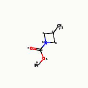 CC(C)OC(=O)N1CC(C(F)(F)F)C1